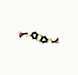 c1cc2c(cc1SCC1CO1)Sc1ccc(SCC3CO3)cc1S2